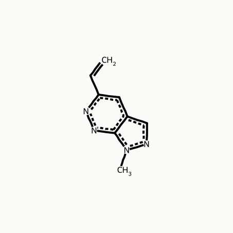 C=Cc1cc2cnn(C)c2nn1